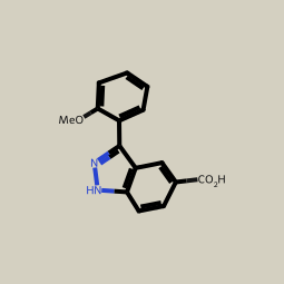 COc1ccccc1-c1n[nH]c2ccc(C(=O)O)cc12